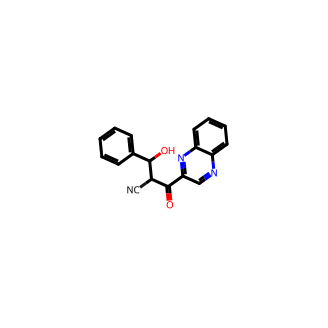 N#CC(C(=O)c1cnc2ccccc2n1)C(O)c1ccccc1